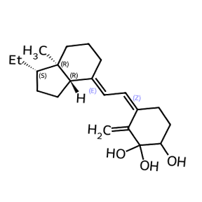 C=C1/C(=C\C=C2/CCC[C@]3(C)[C@@H](CC)CC[C@@H]23)CCC(O)C1(O)O